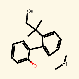 CC(C)(C)CC(C)(C)c1ccccc1-c1ccccc1O.[CH3][Hf][CH3]